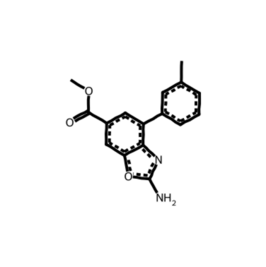 COC(=O)c1cc(-c2cccc(C)c2)c2nc(N)oc2c1